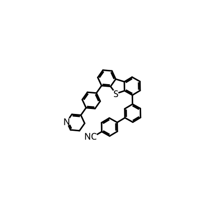 N#Cc1ccc(-c2cccc(-c3cccc4c3sc3c(-c5ccc(C6=CN=CCC6)cc5)cccc34)c2)cc1